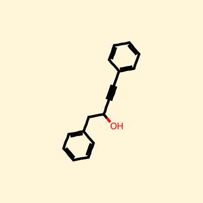 OC(C#Cc1ccccc1)Cc1ccccc1